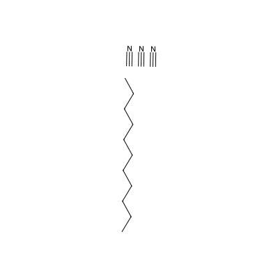 C#N.C#N.C#N.CCCCCCCCCCC